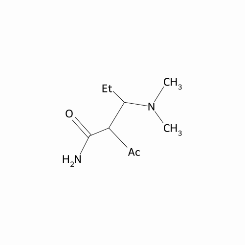 CCC(C(C(C)=O)C(N)=O)N(C)C